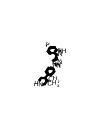 CC1(C)CNCCC1c1ccc(-n2cc(-c3n[nH]c4cc(F)ccc34)nn2)cc1